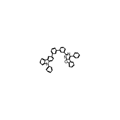 c1ccc(-c2nc(-c3cccc(-c4cccc(-c5ccc6c(c5)c5ccccc5n6-c5ccccc5)c4)c3)nc3oc4ccccc4c23)cc1